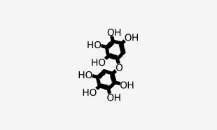 Oc1cc(Oc2cc(O)c(O)c(O)c2O)c(O)c(O)c1O